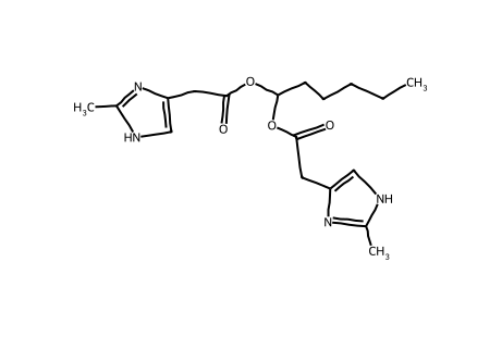 CCCCCC(OC(=O)Cc1c[nH]c(C)n1)OC(=O)Cc1c[nH]c(C)n1